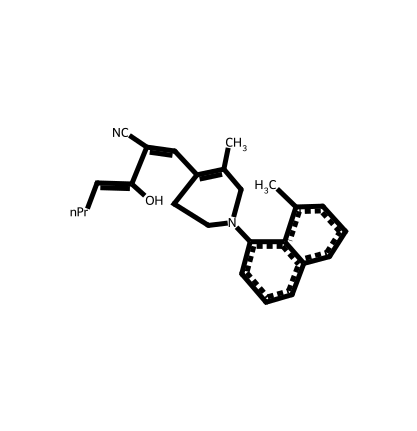 CCC/C=C(O)/C(C#N)=C\C1=C(C)CN(c2cccc3cccc(C)c23)CC1